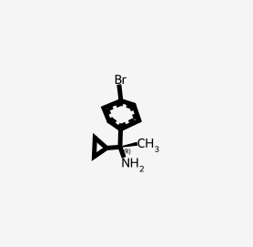 C[C@](N)(c1ccc(Br)cc1)C1CC1